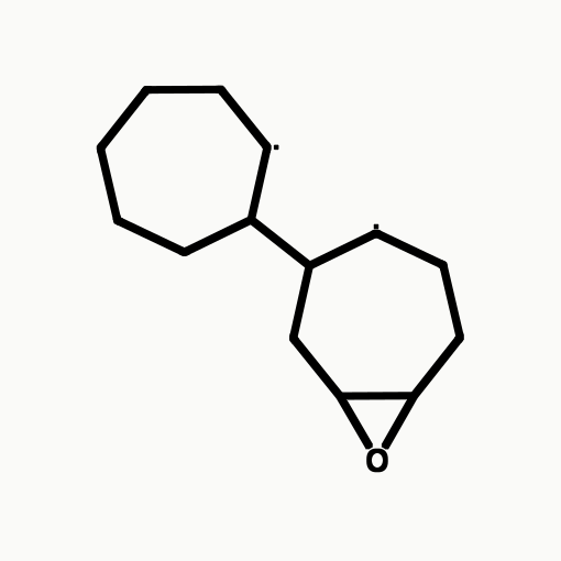 [CH]1CCCCCC1C1[CH]CCC2OC2C1